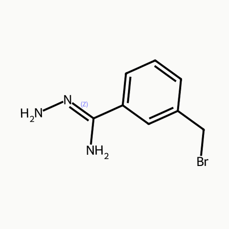 N/N=C(\N)c1cccc(CBr)c1